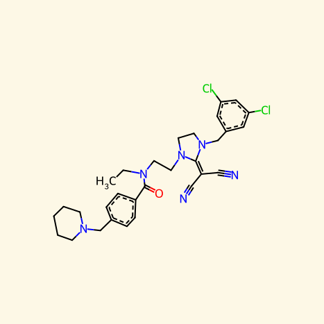 CCN(CCN1CCN(Cc2cc(Cl)cc(Cl)c2)C1=C(C#N)C#N)C(=O)c1ccc(CN2CCCCC2)cc1